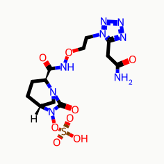 NC(=O)Cc1nnnn1CCONC(=O)[C@@H]1CC[C@@H]2CN1C(=O)N2OS(=O)(=O)O